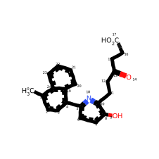 Cc1ccc(-c2ccc(O)c(CCC(=O)CCC(=O)O)n2)c2ccccc12